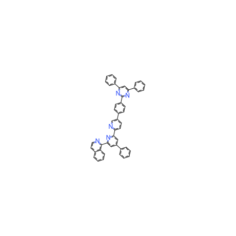 c1ccc(-c2cc(-c3ccc(-c4ccc(-c5nc(-c6ccccc6)cc(-c6ccccc6)n5)cc4)cn3)nc(-c3nccc4ccccc34)c2)cc1